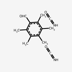 Cc1c(C)c(C)c(C=O)c(C)c1C.N=C=O.N=C=O